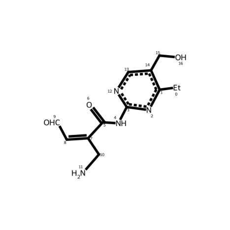 CCc1nc(NC(=O)/C(=C\C=O)CN)ncc1CO